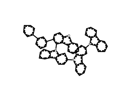 c1ccc(-c2cccc(-c3ccc4oc5ccccc5c4c3-n3c4ccccc4c4ccc(-n5c6ccccc6c6cc(-n7c8ccccc8c8ccccc87)ccc65)cc43)c2)cc1